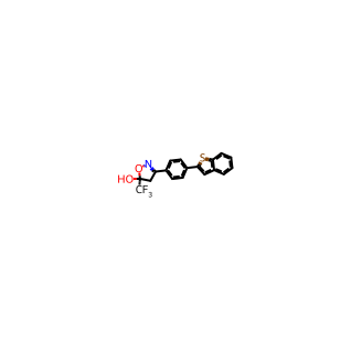 OC1(C(F)(F)F)CC(c2ccc(-c3cc4ccccc4s3)cc2)=NO1